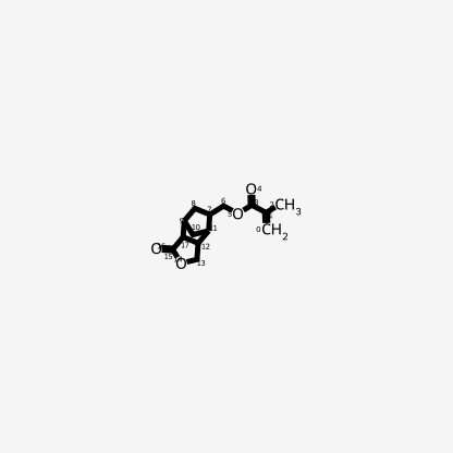 C=C(C)C(=O)OCC1CC2CC1C1COC(=O)C21